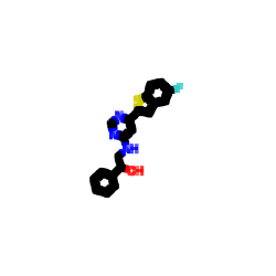 OC(CNc1cc(-c2cc3cc(F)ccc3s2)ncn1)c1ccccc1